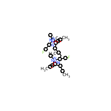 Cc1ccc(-c2ccc3c(c2)c2cc(-c4ccc(C)cc4)ccc2n3-c2cc(-c3ccc(F)cc3)c(Cc3ccc(-c4ccc5c(c4)c4cc(-c6ccc(C)cc6C)ccc4n5-c4cc(-c5ccc(F)cc5)ccc4-c4nc(-c5ccccc5)nc(-c5ccccc5)n4)c(C)c3)cc2-c2nc(-c3ccccc3)nc(-c3ccccc3)n2)cc1